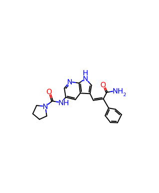 NC(=O)C(=Cc1c[nH]c2ncc(NC(=O)N3CCCC3)cc12)c1ccccc1